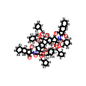 O=C(OCc1ccccc1)C1(C(=O)OCc2ccccc2)C(N=c2c(=O)c3cc4ccccc4cc3c2=O)=Cc2cc3c(cc21)-c1cc2c(cc1C3(C(=O)OCc1ccccc1)C(=O)OCc1ccccc1)C=C(N=c1c(=O)c3cc4ccccc4cc3c1=O)C2(C(=O)OCc1ccccc1)C(=O)OCc1ccccc1